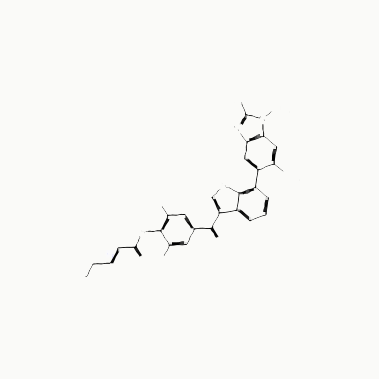 Cc1nc2cc(-c3cccc4c(C(=O)c5cc(F)c(NC(=O)/C=C/CCl)c(F)c5)c[nH]c34)c(C(F)(F)F)cc2n1C